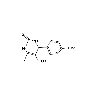 CCOC(=O)C1=C(C)NC(=O)NC1c1ccc(OC)cc1